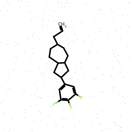 C=CCC1CCC2CC(c3cc(F)c(F)c(F)c3)CC2CC1